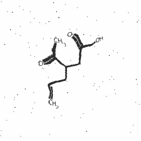 C=CCC(CC(=O)O)C(C)=O